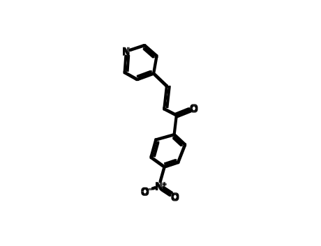 O=C(C=Cc1ccncc1)c1ccc([N+](=O)[O-])cc1